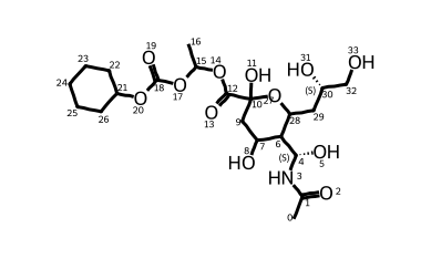 CC(=O)N[C@@H](O)C1C(O)CC(O)(C(=O)OC(C)OC(=O)OC2CCCCC2)OC1C[C@H](O)CO